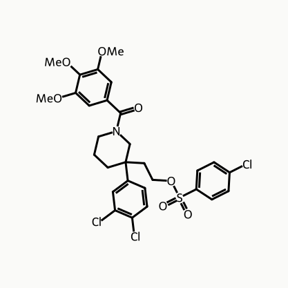 COc1cc(C(=O)N2CCCC(CCOS(=O)(=O)c3ccc(Cl)cc3)(c3ccc(Cl)c(Cl)c3)C2)cc(OC)c1OC